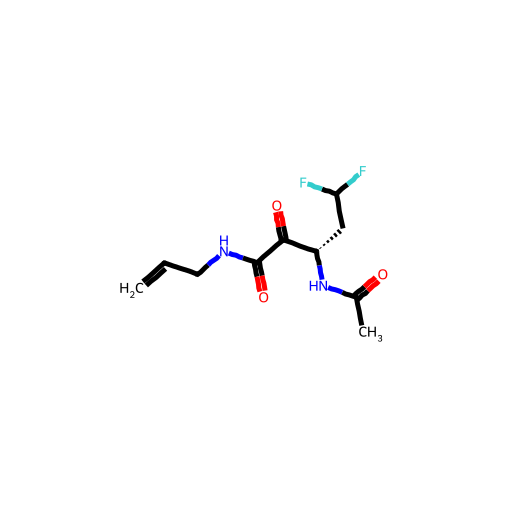 C=CCNC(=O)C(=O)[C@H](CC(F)F)NC(C)=O